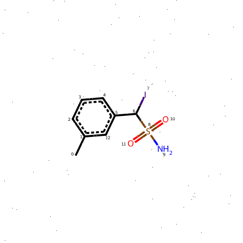 Cc1cccc(C(I)S(N)(=O)=O)c1